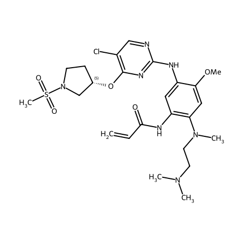 C=CC(=O)Nc1cc(Nc2ncc(Cl)c(O[C@H]3CCN(S(C)(=O)=O)C3)n2)c(OC)cc1N(C)CCN(C)C